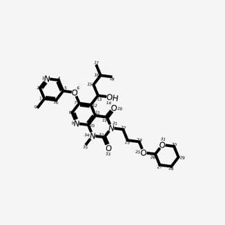 Cc1cncc(Oc2cnc3c(c2C(O)CC(C)C)c(=O)n(CCCOC2CCCCO2)c(=O)n3C)c1